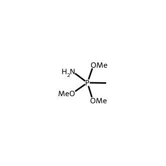 COP(C)(N)(OC)OC